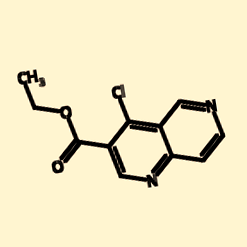 CCOC(=O)c1cnc2ccncc2c1Cl